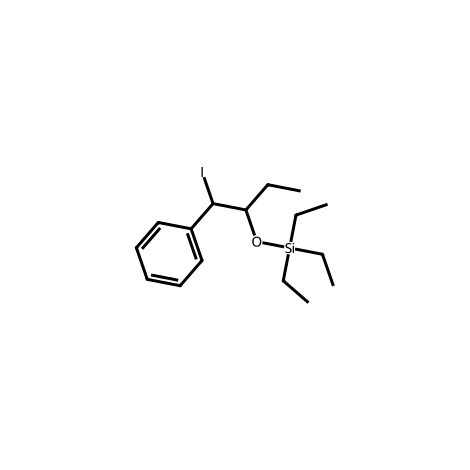 CCC(O[Si](CC)(CC)CC)C(I)c1ccccc1